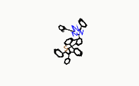 c1ccc(-c2nc(-c3ccccc3)nc(-c3cccc4c3-c3ccccc3C43c4ccccc4-c4c3sc(-c3ccccc3)c4-c3ccccc3)n2)cc1